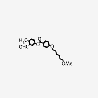 COCCCCCCOc1ccc(C(=O)Oc2ccc(C)c(C=O)c2)cc1